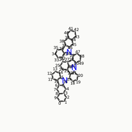 c1ccc2cc3c(cc2c1)c1ccccc1n3-c1cccc2c1c1cccc3c4c(-n5c6ccccc6c6cc7ccccc7cc65)cccc4n2c13